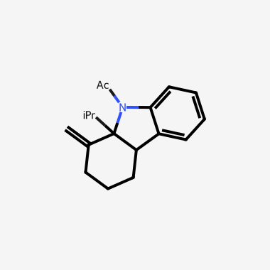 C=C1CCCC2c3ccccc3N(C(C)=O)C12C(C)C